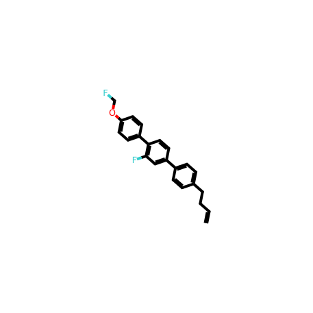 C=CCCc1ccc(-c2ccc(-c3ccc(OCF)cc3)c(F)c2)cc1